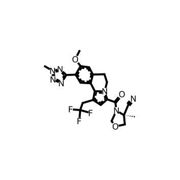 COc1cc2c(cc1-c1nnn(C)n1)-c1c(CC(F)(F)F)cc(C(=O)N3COC[C@]3(C)C#N)n1CC2